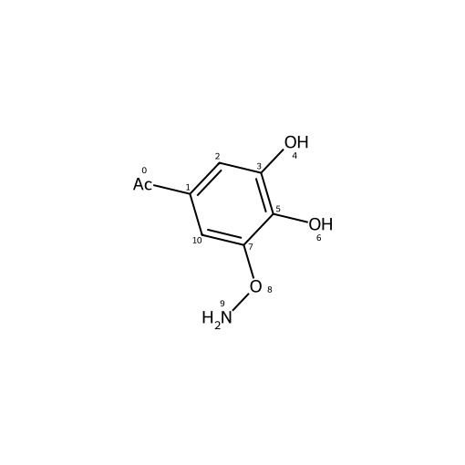 CC(=O)c1cc(O)c(O)c(ON)c1